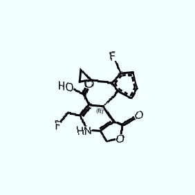 O=C(O)C1=C(CF)NC2=C(C(=O)OC2)[C@@H]1c1cccc(F)c1C1CC1